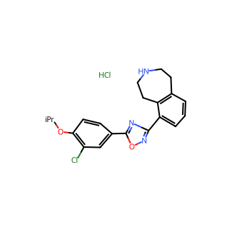 CC(C)Oc1ccc(-c2nc(-c3cccc4c3CCNCC4)no2)cc1Cl.Cl